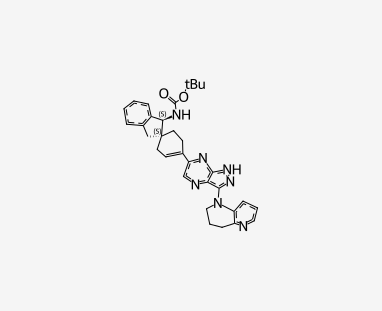 CC(C)(C)OC(=O)N[C@@H]1c2ccccc2C[C@]12CC=C(c1cnc3c(N4CCCc5ncccc54)n[nH]c3n1)CC2